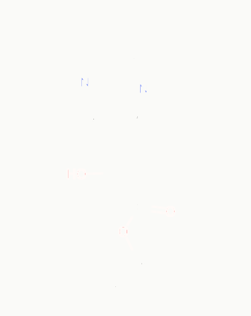 Cc1cnc(CC(O)C(=O)OC(C)C)cn1